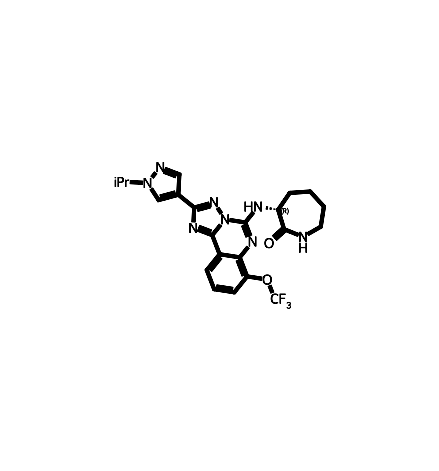 CC(C)n1cc(-c2nc3c4cccc(OC(F)(F)F)c4nc(N[C@@H]4CCCCNC4=O)n3n2)cn1